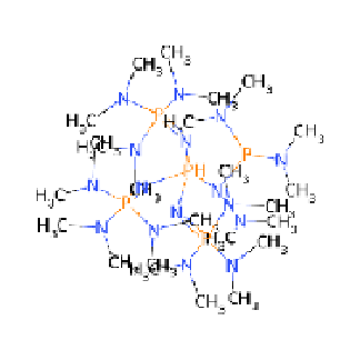 CN(C)N(P(N(C)C)N(C)C)[PH](N=P(N(C)C)(N(C)C)N(C)C)(N=P(N(C)C)(N(C)C)N(C)C)N=P(N(C)C)(N(C)C)N(C)C